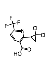 O=C(O)c1ccc(C(F)(F)F)nc1C1CC1(Cl)Cl